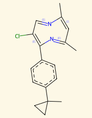 CC1=C/C(C)=N/C(c2ccc(C3(C)CC3)cc2)=C(Cl)\C=N\1